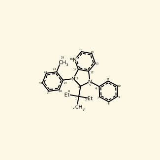 CCC(C)(CC)C1N(c2ccccc2)c2cccnc2N1c1ccccc1C